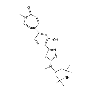 CN1C=C=C(c2ccc(-c3nnc(N(C)C4CC(C)(C)NC(C)(C)C4)s3)c(O)c2)C=CC1=O